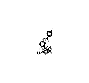 CC(C)(O)[C@@]12SC(N)=N[C@](C)(c3cc(NC(=O)c4ccc(Cl)cn4)ccc3F)[C@@H]1C2(F)F